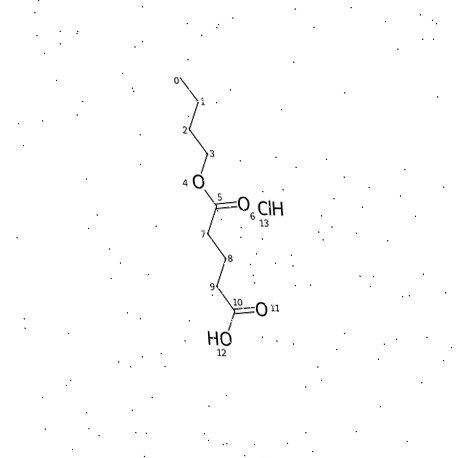 CCCCOC(=O)CCCC(=O)O.Cl